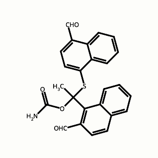 CC(OC(N)=O)(Sc1ccc(C=O)c2ccccc12)c1c(C=O)ccc2ccccc12